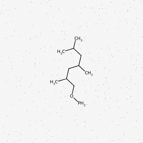 CC(C)CC(C)CC(C)COP